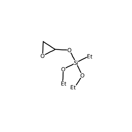 CCO[Si](CC)(OCC)OC1CO1